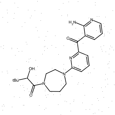 CC(C)(C)C(O)C(=O)N1CCCN(c2cccc(C(=O)c3cccnc3N)n2)CC1